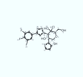 OC[C@H]1O[C@H](S)[C@@](O)(c2cccs2)[C@@H](n2cc(-c3cc(F)c(F)c(F)c3)nn2)[C@]1(O)Cl